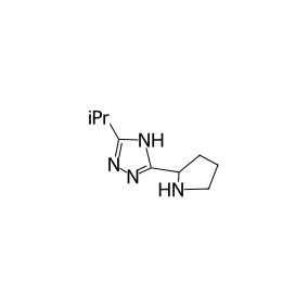 CC(C)c1nnc(C2CCCN2)[nH]1